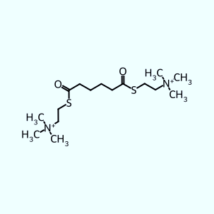 C[N+](C)(C)CCSC(=O)CCCCC(=O)SCC[N+](C)(C)C